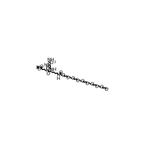 COCCOCCOCCOCCOCCOCCOCCOCCOCCOCC(=O)NCCCC[C@H](NC(=O)CNC(=O)CN)C(=O)NCCCC(=O)OC(C)(C)C